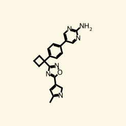 CC1=NCC(c2nc(C3(c4ccc(-c5cnc(N)nc5)cc4)CCC3)no2)=C1